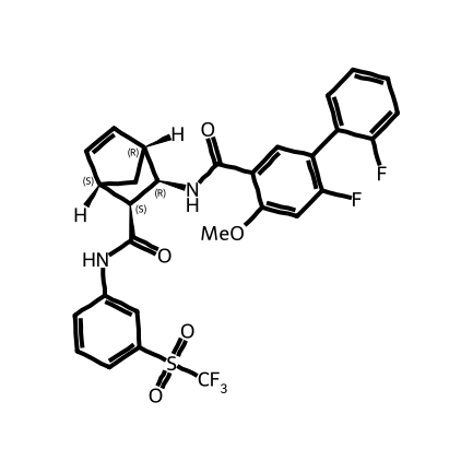 COc1cc(F)c(-c2ccccc2F)cc1C(=O)N[C@H]1[C@@H](C(=O)Nc2cccc(S(=O)(=O)C(F)(F)F)c2)[C@@H]2C=C[C@H]1C2